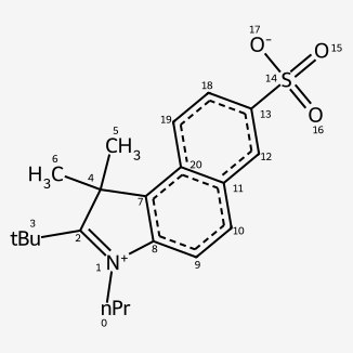 CCC[N+]1=C(C(C)(C)C)C(C)(C)c2c1ccc1cc(S(=O)(=O)[O-])ccc21